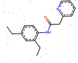 CCc1ccc(NC(=O)Cc2ccccn2)c(CC)c1